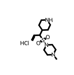 C=CC(C1CCNCC1)S(=O)(=O)N1CCN(C)CC1.Cl